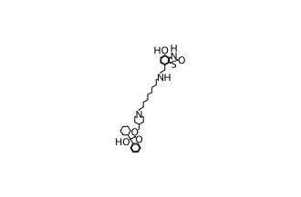 O=C(OCC1CCN(CCCCCCCCCNCCc2ccc(O)c3[nH]c(=O)sc23)CC1)C(O)(c1ccccc1)C1CCCCC1